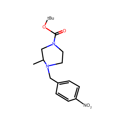 CC1CN(C(=O)OC(C)(C)C)CCN1Cc1ccc([N+](=O)[O-])cc1